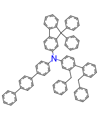 c1ccc(Cc2ccccc2-c2ccc(N(c3ccc(-c4ccc(-c5ccccc5)cc4)cc3)c3ccc4c(c3)C(c3ccccc3)(c3ccccc3)c3ccccc3-4)cc2Cc2ccccc2)cc1